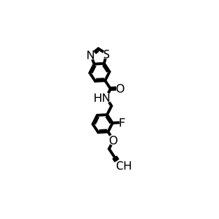 C#CCOc1cccc(CNC(=O)c2ccc3ncsc3c2)c1F